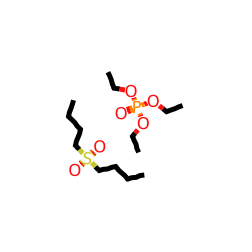 CCCCS(=O)(=O)CCCC.CCOP(=O)(OCC)OCC